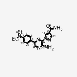 CCN(CC)c1ccc(-c2cnc(N)c(-n3cc(C(N)=O)cn3)n2)cc1